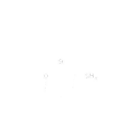 CC=[Si]1CCCCO1.[SiH4]